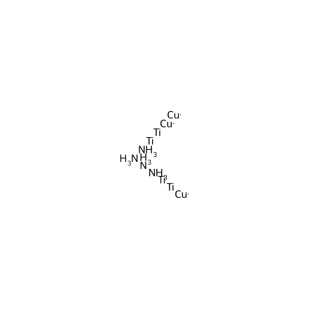 N.N.N.N.[Cu].[Cu].[Cu].[Ti].[Ti].[Ti].[Ti]